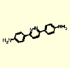 Nc1ccc(-c2ccc(-c3ccc(N)cc3)nn2)cc1